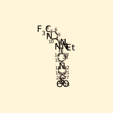 CCn1nc(-c2ccc(C(F)(F)F)nc2)nc1C1CCC(N2CCC3(CC2)CS(=O)(=O)C3)CC1